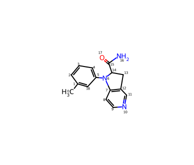 Cc1cccc(N2c3ccncc3CC2C(N)=O)c1